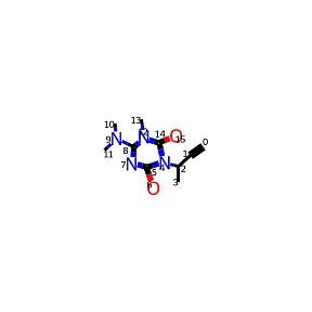 C#CC(C)n1c(=O)nc(N(C)C)n(C)c1=O